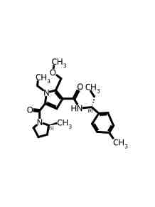 CC[C@@H](NC(=O)c1cc(C(=O)N2CCC[C@@H]2C)n(CC)c1COC)c1ccc(C)cc1